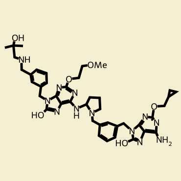 COCCOc1nc(NC2CCCN2Cc2cccc(Cn3c(O)nc4c(N)nc(OCC5CC5)nc43)c2)c2nc(O)n(Cc3cccc(CNCC(C)(C)O)c3)c2n1